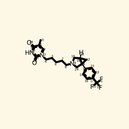 Cc1cn(CCCCCN2C[C@@H]3C[C@]3(c3ccc(C(F)(F)F)cc3)C2)c(=O)[nH]c1=O